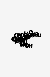 CC(C)(C)OC(=O)N1CCN2C(=O)c3c(N4CC(O)CC4(C)C)nc(-c4c(O)cccc4F)c(F)c3OC[C@H]2C1